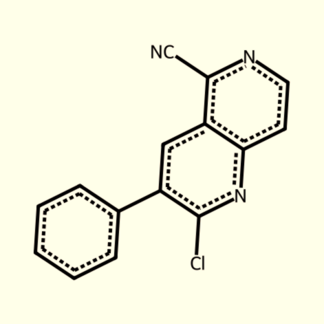 N#Cc1nccc2nc(Cl)c(-c3ccccc3)cc12